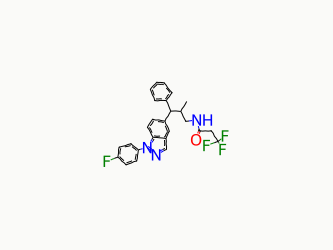 CC(CNC(=O)CC(F)(F)F)C(c1ccccc1)c1ccc2c(cnn2-c2ccc(F)cc2)c1